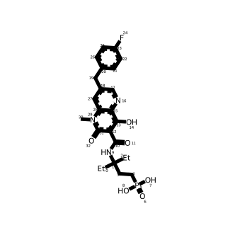 CCC(CC)(CCP(=O)(O)O)NC(=O)c1c(O)c2ncc(Cc3ccc(F)cc3)cc2n(C)c1=O